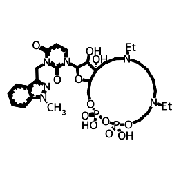 CCN1CCCCN(CC)CC[C@@]2(O)C(COP(=O)(O)OP(=O)(O)OCC1)OC(n1ccc(=O)n(Cc3nn(C)c4ccccc34)c1=O)C2O